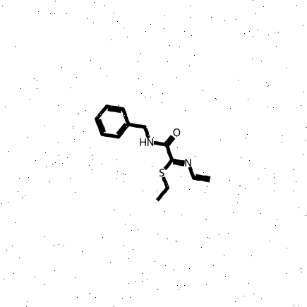 C=C/N=C(\SCC)C(=O)NCc1ccccc1